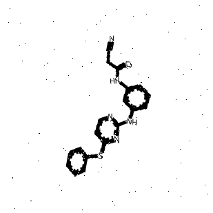 N#CCC(=O)Nc1cccc(Nc2nccc(Sc3ccccc3)n2)c1